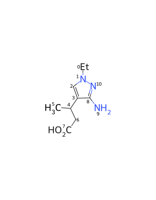 CCn1cc(C(C)CC(=O)O)c(N)n1